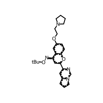 CC(C)(C)ON=c1cc(-c2cc3cccn3cn2)oc2ccc(OCCN3CCCC3)cc12